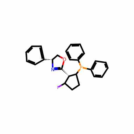 IC1CCC(P(c2ccccc2)c2ccccc2)[C@H]1C1=N[C@H](c2ccccc2)CO1